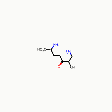 N#CC(CN)C(=O)CC[C@H](N)C(=O)O